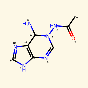 CC(=O)NN1C=Nc2[nH]cnc2C1N